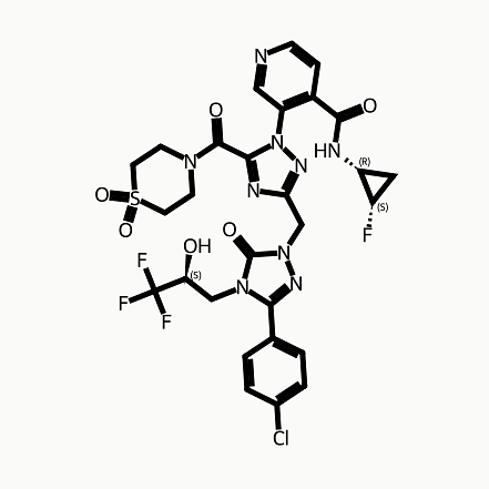 O=C(N[C@@H]1C[C@@H]1F)c1ccncc1-n1nc(Cn2nc(-c3ccc(Cl)cc3)n(C[C@H](O)C(F)(F)F)c2=O)nc1C(=O)N1CCS(=O)(=O)CC1